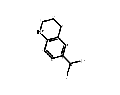 IC(I)c1ccc2c(c1)CCCN2